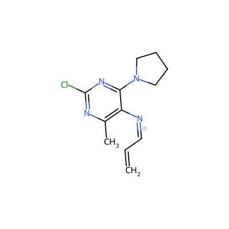 C=C/C=N\c1c(C)nc(Cl)nc1N1CCCC1